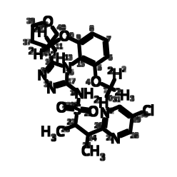 [2H]C([2H])([2H])Oc1cccc(OC([2H])([2H])[2H])c1-n1c(NS(=O)(=O)C(C)C(C)c2ncc(Cl)cn2)nnc1[C@@H]1CCOC1